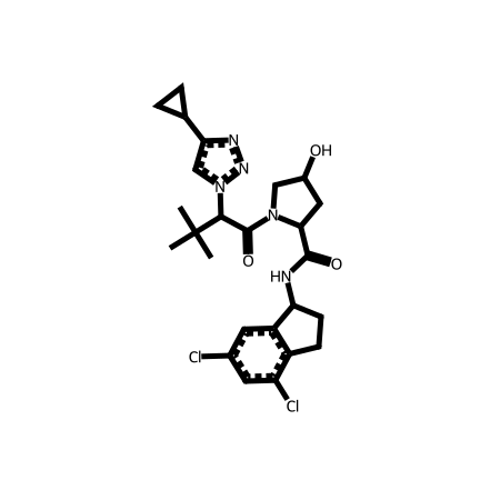 CC(C)(C)C(C(=O)N1CC(O)CC1C(=O)NC1CCc2c(Cl)cc(Cl)cc21)n1cc(C2CC2)nn1